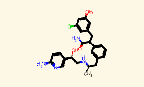 C[C@H](Cc1cccc(C(Cc2cc(O)cc(Cl)c2)C(N)=O)c1)NC[C@H](O)c1ccc(N)nc1